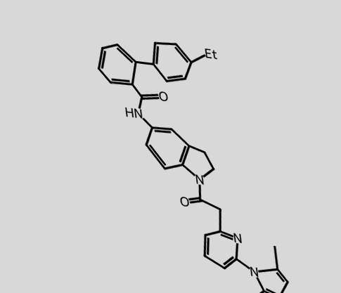 CCc1ccc(-c2ccccc2C(=O)Nc2ccc3c(c2)CCN3C(=O)Cc2cccc(-n3c(C)ccc3C)n2)cc1